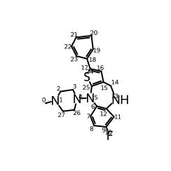 CN1CCN(N2c3ccc(F)cc3NCc3cc(-c4ccccc4)sc32)CC1